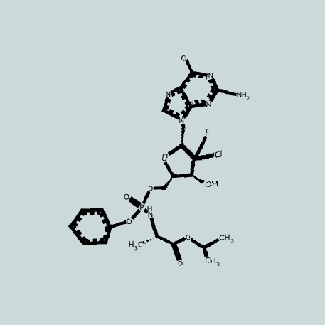 CC(C)OC(=O)[C@H](C)NP(=O)(OC[C@H]1O[C@@H](n2cnc3c(Cl)nc(N)nc32)C(F)(Cl)[C@H]1O)Oc1ccccc1